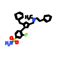 CN(CCc1ccccc1)CC1=CC(c2ccc(S(N)(=O)=O)cc2F)C(Cc2ccccc2)=C1